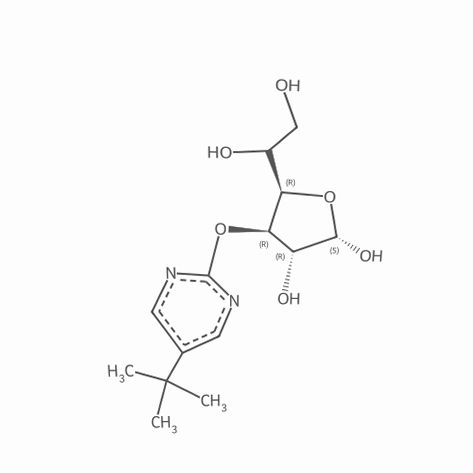 CC(C)(C)c1cnc(O[C@@H]2[C@@H](O)[C@@H](O)O[C@@H]2C(O)CO)nc1